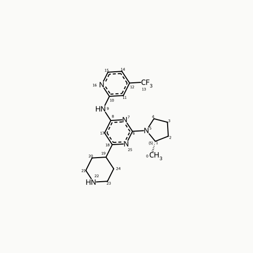 C[C@H]1CCCN1c1nc(Nc2cc(C(F)(F)F)ccn2)cc(C2CCNCC2)n1